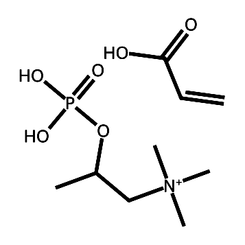 C=CC(=O)O.CC(C[N+](C)(C)C)OP(=O)(O)O